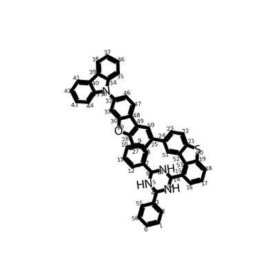 c1ccc(C2NC(c3ccccc3)NC(c3cccc4sc5ccc(-c6ccc7oc8cc(-n9c%10ccccc%10c%10ccccc%109)ccc8c7c6)cc5c34)N2)cc1